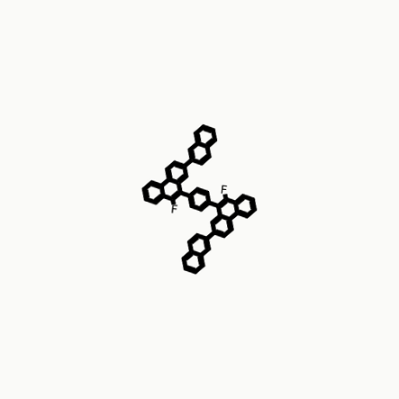 Fc1c(-c2ccc(-c3c(F)c4ccccc4c4ccc(-c5ccc6ccccc6c5)cc34)cc2)c2cc(-c3ccc4ccccc4c3)ccc2c2ccccc12